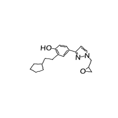 Oc1ccc(-c2ccn(CC3CO3)n2)cc1CCC1CCCC1